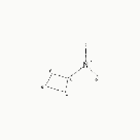 CN(I)C1CCC1